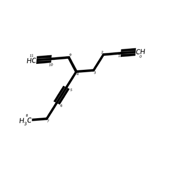 C#CCC[C](C#CCC)CC#C